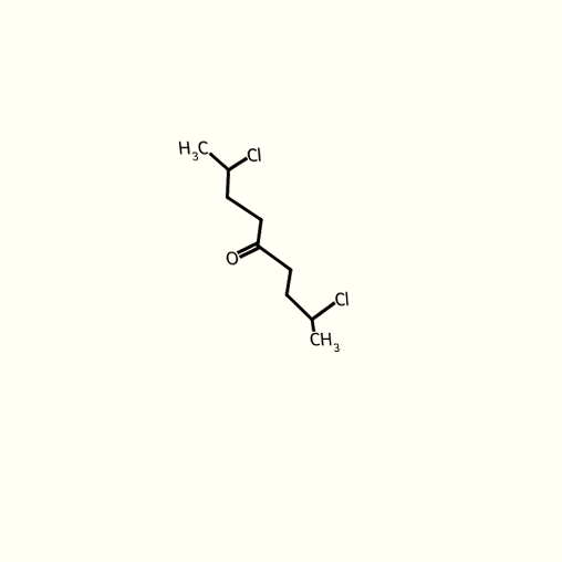 CC(Cl)CCC(=O)CCC(C)Cl